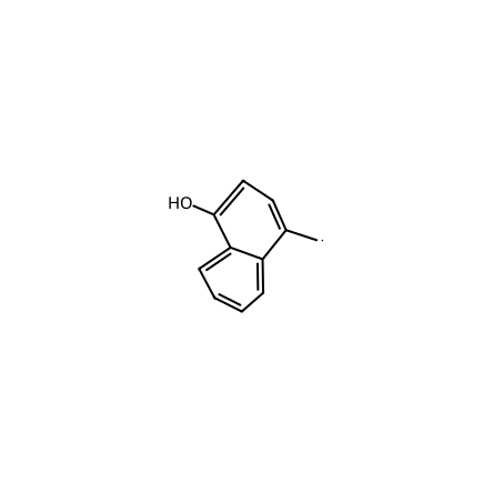 [CH2]c1ccc(O)c2ccccc12